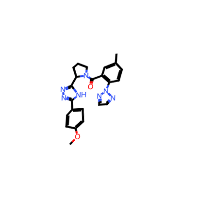 COc1ccc(-c2nnc(C3CCCN3C(=O)c3cc(C)ccc3-n3nccn3)[nH]2)cc1